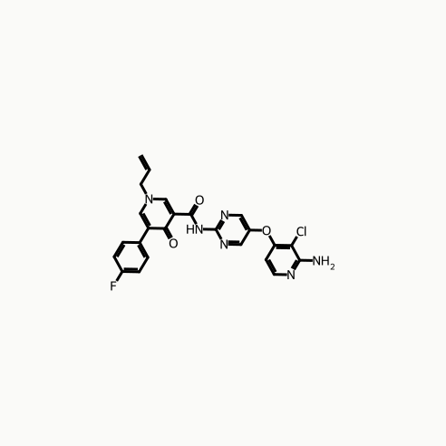 C=CCn1cc(C(=O)Nc2ncc(Oc3ccnc(N)c3Cl)cn2)c(=O)c(-c2ccc(F)cc2)c1